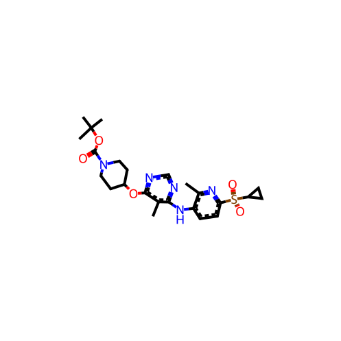 Cc1nc(S(=O)(=O)C2CC2)ccc1Nc1ncnc(OC2CCN(C(=O)OC(C)(C)C)CC2)c1C